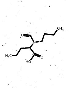 CCCCN([C]=O)C(CCC)C(=O)O